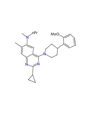 CCCN(C)c1cc2c(N3CCC(c4ccccc4OC)CC3)nc(C3CC3)nc2cc1C